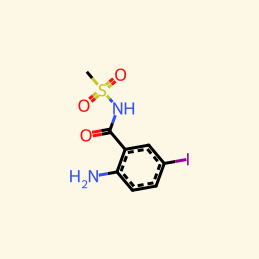 CS(=O)(=O)NC(=O)c1cc(I)ccc1N